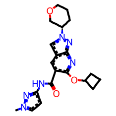 Cn1ccc(NC(=O)c2cc3cn([C@@H]4CCCOC4)nc3nc2OC2CCC2)n1